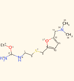 CCO[C](N)NCCSCc1ccc(CN(C)C)o1